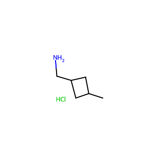 CC1CC(CN)C1.Cl